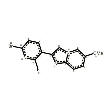 COc1ccc2nc(-c3ccc(Br)nc3F)cn2c1